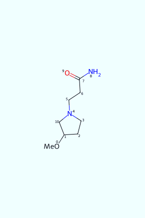 COC1CCN(CCC(N)=O)C1